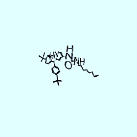 CCCCCCCCNC(=O)N[C@H]1CN[C@@H](C(c2ccc(C(C)(C)C)cc2)c2ccc(C(C)(C)C)cc2)C1